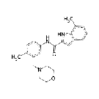 Cc1ccc(NC(=O)c2cc3cccc(C)c3[nH]2)cc1CN1CCOCC1